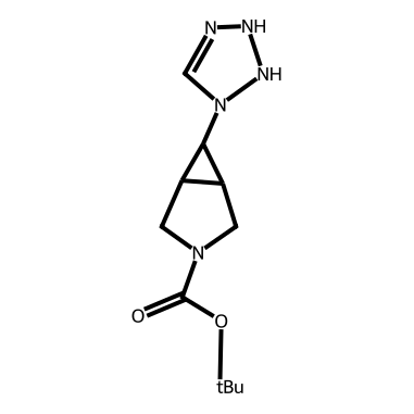 CC(C)(C)OC(=O)N1CC2C(C1)C2N1C=NNN1